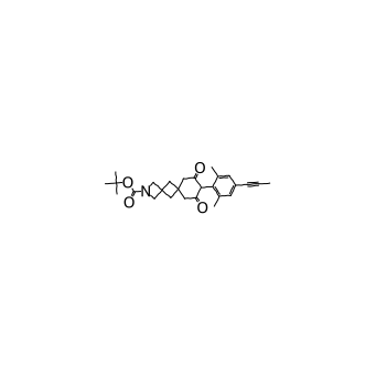 CC#Cc1cc(C)c(C2C(=O)CC3(CC2=O)CC2(CN(C(=O)OC(C)(C)C)C2)C3)c(C)c1